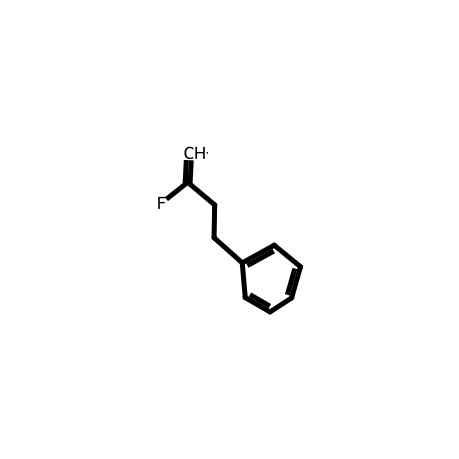 [CH]=C(F)CCc1ccccc1